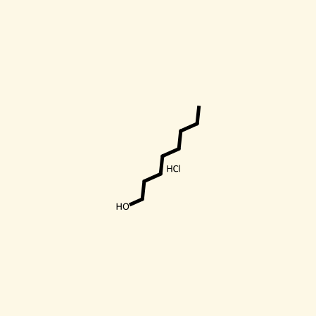 CCCCCCCCO.Cl